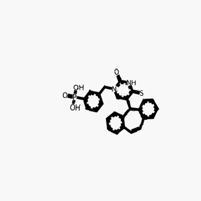 O=c1[nH]c(=S)c(C2c3ccccc3C=Cc3ccccc32)cn1Cc1cccc(P(=O)(O)O)c1